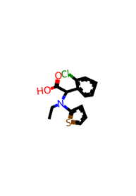 CCN(c1cccs1)C(C(=O)O)c1ccccc1Cl